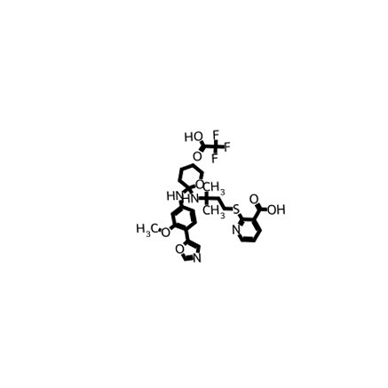 COc1cc(NC2(NC(C)(C)CCSc3ncccc3C(=O)O)CCCCO2)ccc1-c1cnco1.O=C(O)C(F)(F)F